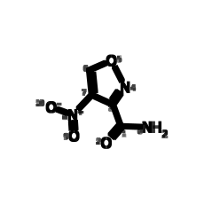 NC(=O)c1nocc1[N+](=O)[O-]